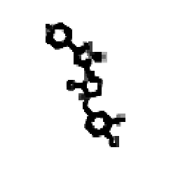 O=C1[C@H](Cc2ccc(Cl)c(F)c2)CCN1c1cc(-c2ccncc2)n[nH]1